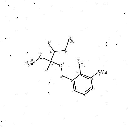 CSc1cccc(COC(C)(O[SiH3])C(C)CC(C)(C)C)c1N